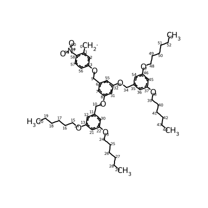 [CH2]c1cc(OCc2cc(OCc3cc(OCCCCCC)cc(OCCCCCC)c3)cc(OCc3cc(OCCCCCC)cc(OCCCCCC)c3)c2)ccc1[N+](=O)[O-]